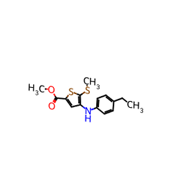 CCc1ccc(Nc2cc(C(=O)OC)sc2SC)cc1